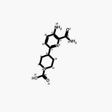 NC(=O)c1nc(C2CCN(C(=O)O)CC2)ccc1N